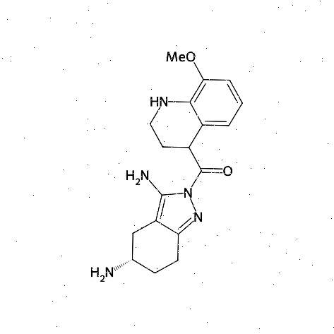 COc1cccc2c1NCCC2C(=O)n1nc2c(c1N)C[C@@H](N)CC2